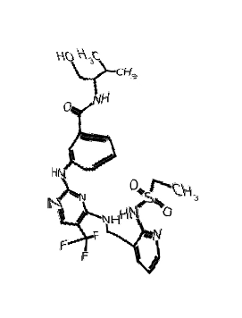 CCS(=O)(=O)Nc1ncccc1CNc1nc(Nc2cccc(C(=O)N[C@@H](CO)C(C)C)c2)ncc1C(F)(F)F